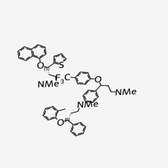 CNCCC(Oc1ccc(C(F)(F)F)cc1)c1ccccc1.CNCC[C@@H](Oc1ccccc1C)c1ccccc1.CNCC[C@H](Oc1cccc2ccccc12)c1cccs1